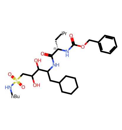 CCCCNS(=O)(=O)CC(O)C(O)C(CC1CCCCC1)NC(=O)[C@H](CC(C)C)NC(=O)OCc1ccccc1